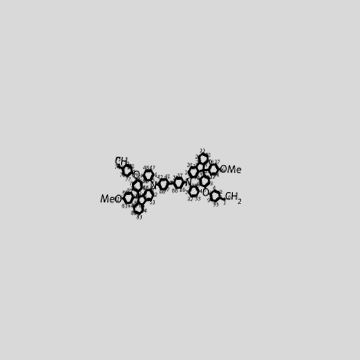 C=Cc1ccc(Oc2ccc(C3(c4ccc(OC)cc4)c4ccccc4-c4ccc(N(c5ccccc5)c5ccc(-c6ccc(N(c7ccccc7)c7ccc8c(c7)[C@@](c7ccc(OC)cc7)(c7ccc(Oc9ccc(C=C)cc9)cc7)c7ccccc7-8)cc6)cc5)cc43)cc2)cc1